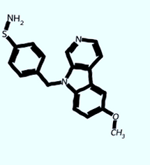 COc1ccc2c(c1)c1ccncc1n2Cc1ccc(SN)cc1